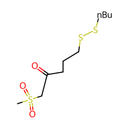 CCCCSSCCCC(=O)CS(C)(=O)=O